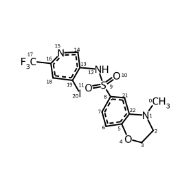 CN1CCOc2ccc(S(=O)(=O)Nc3cnc(C(F)(F)F)cc3I)cc21